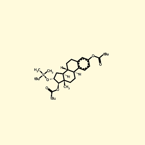 CC(C)(C)C(=O)Oc1ccc2c(c1)CC[C@@H]1[C@@H]2CC[C@@]2(C)[C@H]1C[C@@H](O[Si](C)(C)C(C)(C)C)[C@@H]2OC(=O)C(C)(C)C